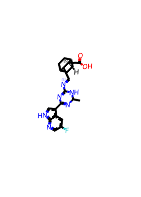 CC1N=C(c2c[nH]c3ncc(F)cc23)N=C(/N=C/C2C3CCC(CC3)[C@@H]2C(=O)O)N1